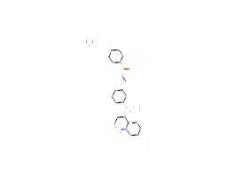 COc1ccc(C(=O)/C=C/c2cccc(Nc3ccnc4cc(Cl)ccc34)c2)cc1